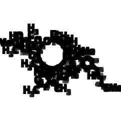 CC[C@H]1OC(=O)[C@H](C)[C@@H](O[C@H]2C[C@@](C)(OC)[C@@H](O)[C@H](C)O2)[C@H](C)[C@@H](O[C@@H]2O[C@H](C)C[C@H](N(C)CCc3cn([C@H](CF)[C@H](OC)c4ccc(CNCCSC)cc4)nn3)[C@H]2O)[C@](C)(O)C[C@@H](C)CN(C)[C@H](C)[C@@H](O)[C@]1(C)O